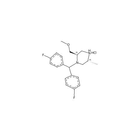 COC[C@H]1CN[C@H](C)CN1C(c1ccc(F)cc1)c1ccc(F)cc1.Cl